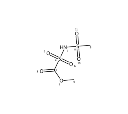 COC(=O)S(=O)(=O)NS(C)(=O)=O